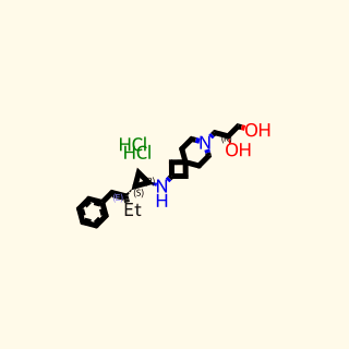 CC/C(=C\c1ccccc1)[C@@H]1C[C@H]1NC1CC2(CCN(C[C@@H](O)CO)CC2)C1.Cl.Cl